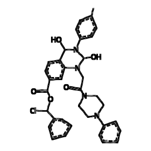 Cc1ccc(N2C(O)c3ccc(C(=O)OC(Cl)c4ccccc4)cc3N(CC(=O)N3CCN(c4ccccc4)CC3)C2O)cc1